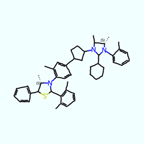 Cc1cc(C2CCC(N3C(C)[C@H](C)N(c4ccccc4C)C3C3CCCCC3)C2)ccc1N1C(c2c(C)cccc2C)SC(c2ccccc2)[C@@H]1C